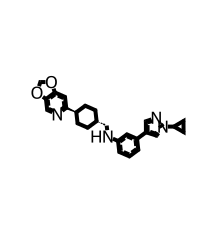 c1cc(NC[C@H]2CC[C@H](c3cc4c(cn3)OCO4)CC2)cc(-c2cnn(C3CC3)c2)c1